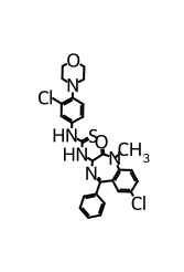 CN1C(=O)C(NC(=S)Nc2ccc(N3CCOCC3)c(Cl)c2)N=C(c2ccccc2)c2cc(Cl)ccc21